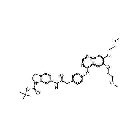 COCCOc1cc2ncnc(Oc3ccc(CC(=O)Nc4ccc5c(c4)N(C(=O)OC(C)(C)C)CC5)cc3)c2cc1OCCOC